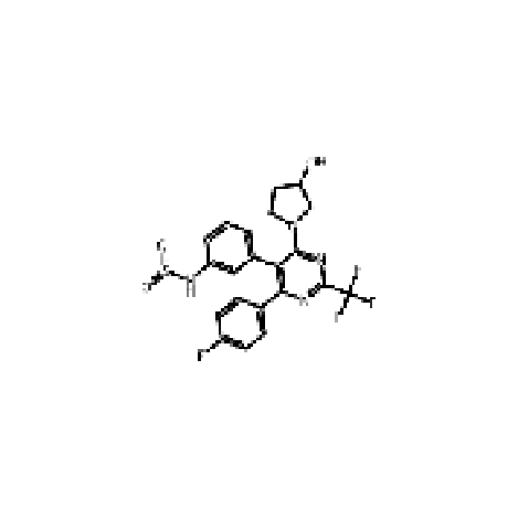 O=[SH](=O)Nc1cccc(-c2c(-c3ccc(F)cc3)nc(C(F)(F)F)nc2N2CC[C@@H](O)C2)c1